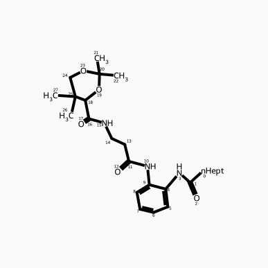 CCCCCCCC(=O)Nc1ccccc1NC(=O)CCNC(=O)C1OC(C)(C)OCC1(C)C